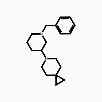 c1ccc(CN2CCCC(N3CCC4(CC3)CC4)C2)cc1